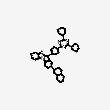 c1ccc(-c2nc(-c3ccccc3)nc(-c3ccc(-c4c5cc(-c6ccc7ccccc7c6)ccc5n5c4sc4ccccc45)cc3)n2)cc1